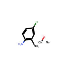 Nc1ccc(Cl)cc1[N+](=O)[O-].O=N[O-].[Na+]